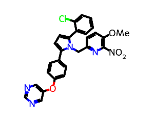 COc1ccc(Cn2c(-c3ccc(Oc4cncnc4)cc3)ccc2-c2ccccc2Cl)nc1[N+](=O)[O-]